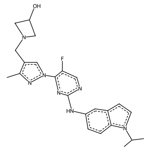 Cc1nn(-c2nc(Nc3ccc4c(ccn4C(C)C)c3)ncc2F)cc1CN1CC(O)C1